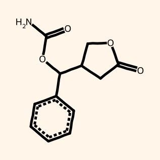 NC(=O)OC(c1ccccc1)C1COC(=O)C1